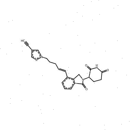 C#Cc1cnn(CCC/C=C/c2cccc3c2CN(C2CCC(=O)NC2=O)C3=O)c1